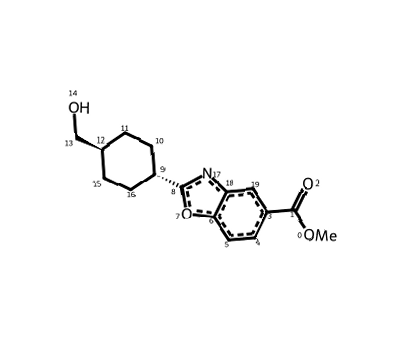 COC(=O)c1ccc2oc([C@H]3CC[C@H](CO)CC3)nc2c1